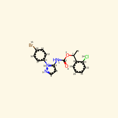 CC(OC(=O)Nc1ccnn1-c1ccc(Br)cc1)c1ccccc1Cl